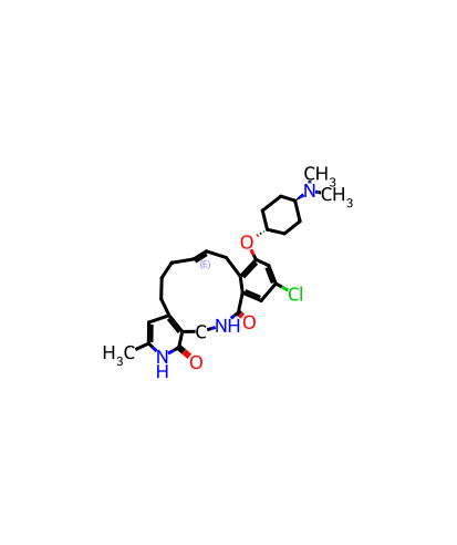 Cc1cc2c(c(=O)[nH]1)CNC(=O)c1cc(Cl)cc(O[C@H]3CC[C@H](N(C)C)CC3)c1C/C=C/CCC2